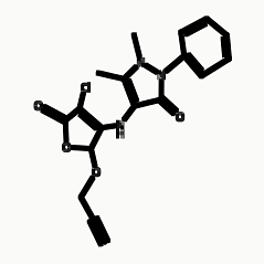 C#CCOC1OC(=O)C(Cl)=C1Nc1c(C)n(C)n(-c2ccccc2)c1=O